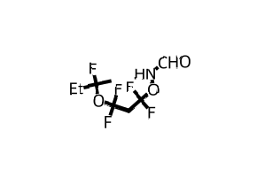 CCC(C)(F)OC(F)(F)CC(F)(F)ONC=O